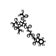 C=C(C)C(=O)OCC(COC(=O)CCC(=O)OCN1C(=O)c2ccccc2C1=O)(COC(=O)C(=C)C)COC(=O)C(=C)C